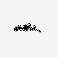 CC(=O)SCCNC(=O)CCNC(=O)[C@@H]1O[PH](O)(OCOC(=O)c2cc(C)nn2C)OCC1(C)C